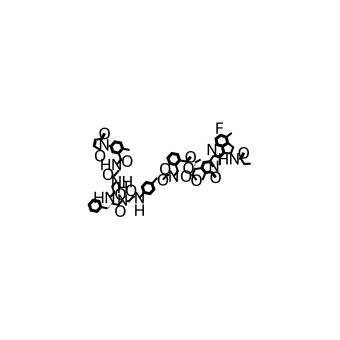 CCC(=O)N[C@H]1Cc2c(C)c(F)cc3nc4c(c1c23)Cn1c-4cc2c(c1=O)COC(=O)[C@@]2(CC)OC(=O)c1ccccc1CN(C)C(=O)OCc1ccc(NC(=O)CNC(=O)[C@H](Cc2ccccc2)NC(=O)CNC(=O)CNC(=O)c2cc(N3C(=O)C=CC3=O)ccc2C)cc1